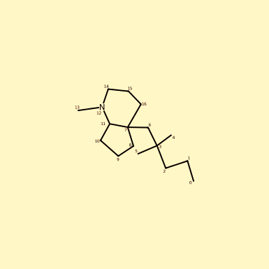 CCCC(C)(C)CC12CCCC1N(C)CCC2